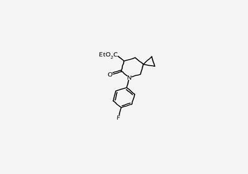 CCOC(=O)C1CC2(CC2)CN(c2ccc(F)cc2)C1=O